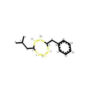 CC(C)CC1SSSC(Cc2ccccc2)SS1